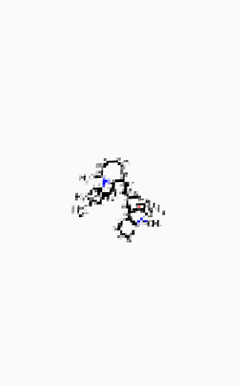 C=C/C=C\C(=C/C)N1C(/C=C\C)=C(/C=C(C)/C(/C=C(\C)C2=C(N(C)C(C)C)CC=CC=C2)=C/C)CCC/C=C\C1C